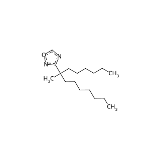 CCCCCCCC(C)(CCCCCC)c1ncon1